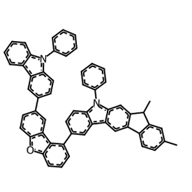 Cc1ccc2c(c1)C(C)c1cc3c(cc1-2)c1cc(-c2cccc4oc5ccc(-c6ccc7c(c6)c6ccccc6n7-c6ccccc6)cc5c24)ccc1n3-c1ccccc1